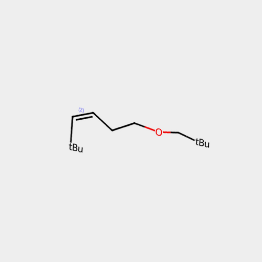 CC(C)(C)/C=C\CCOCC(C)(C)C